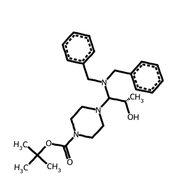 C[C@H](O)C(N1CCN(C(=O)OC(C)(C)C)CC1)N(Cc1ccccc1)Cc1ccccc1